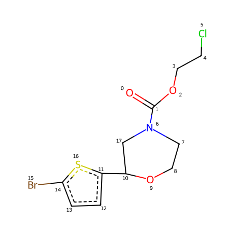 O=C(OCCCl)N1CCOC(c2ccc(Br)s2)C1